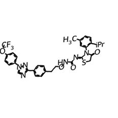 Cc1ccc(C(C)C)c(N2C(=O)CS/C2=N\C(=O)NOCCc2ccc(-c3ncn(-c4ccc(OC(F)(F)F)cc4)n3)cc2)c1